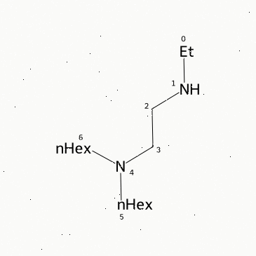 [CH2]CNCCN(CCCCCC)CCCCCC